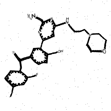 Cc1ccc(C(=O)c2ccc(O)c(-c3cc(NCCN4CCOCC4)nc(N)n3)c2)c(F)c1